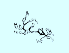 COC(C(=O)Nc1cc(C(C)(C)C)on1)=C(C)C(OC)OC